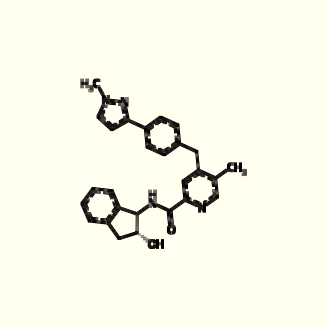 Cc1cnc(C(=O)NC2c3ccccc3C[C@H]2O)cc1Cc1ccc(-c2ccn(C)n2)cc1